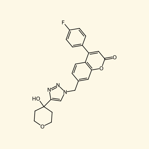 O=c1cc(-c2ccc(F)cc2)c2ccc(Cn3cc(C4(O)CCOCC4)nn3)cc2o1